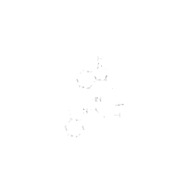 C[C@@H](c1c[nH]c2ccccc12)[C@@H](NC(=O)N1CCc2ccccc21)C(=O)O